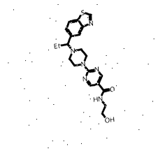 CCC(c1ccc2scnc2c1)N1CCN(c2ncc(C(=O)NCCO)cn2)CC1